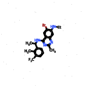 CCNc1cc2nc(C)nc(NC(C)c3cccc(C(F)(F)F)c3C)c2cc1Br